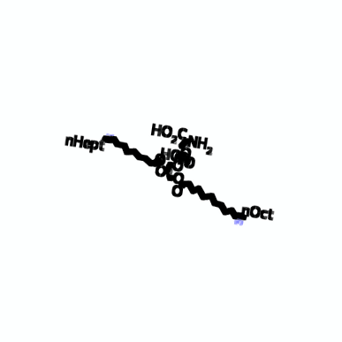 CCCCCCC/C=C\CCCCCCCC(=O)O[C@H](COC(=O)CCCCCCCCC/C=C\CCCCCCCC)COP(=O)(O)OC[C@H](N)C(=O)O